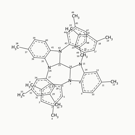 Cc1cc(C)cc(N2c3ccc(C)cc3N(c3cc(C)cc(C)c3)C2C2N(c3cc(C)cc(C)c3)c3cc(C)ccc3N2c2cc(C)ccc2C)c1